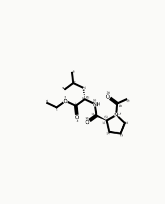 CCOC(=O)[C@H](CC(C)C)NC(=O)[C@@H]1CCCN1C(C)=O